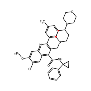 CCCOc1cc2nc(-c3cccc(C(F)(F)F)c3)c(CN3CCC(N4CCOCC4)CC3)c(C(=O)NC3(c4ccccc4)CC3)c2cc1Cl